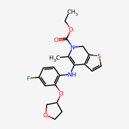 CCOC(=O)N1Cc2sccc2C(Nc2ccc(F)cc2OC2CCOC2)=C1C